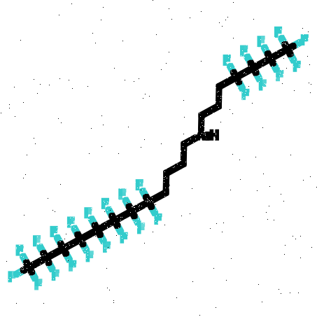 FC(F)(F)C(F)(F)C(F)(F)C(F)(F)CCC[AsH]CCCCC(F)(F)C(F)(F)C(F)(F)C(F)(F)C(F)(F)C(F)(F)C(F)(F)C(F)(F)F